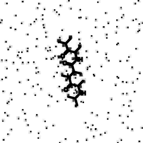 CC(C)NC(C)C(=O)N(C)C(C)C(=O)NC(C)C(=O)C(C)C